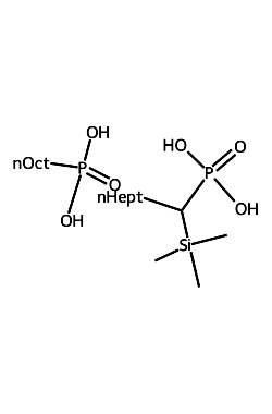 CCCCCCCC([Si](C)(C)C)P(=O)(O)O.CCCCCCCCP(=O)(O)O